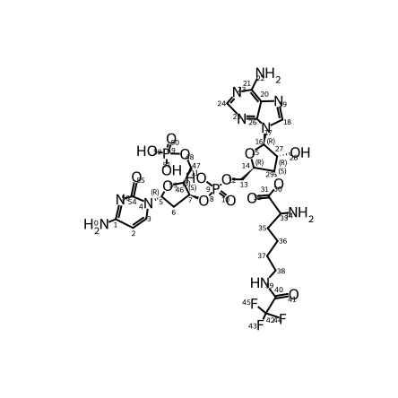 Nc1ccn([C@H]2C[C@H](OP(=O)(O)OC[C@H]3O[C@@H](n4cnc5c(N)ncnc54)[C@H](O)[C@@H]3OC(=O)C(N)CCCCNC(=O)C(F)(F)F)[C@H](COP(=O)(O)O)O2)c(=O)n1